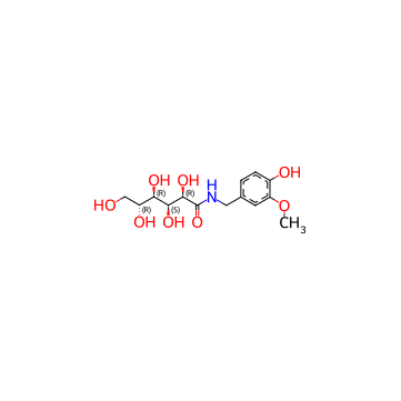 COc1cc(CNC(=O)[C@H](O)[C@@H](O)[C@H](O)[C@H](O)CO)ccc1O